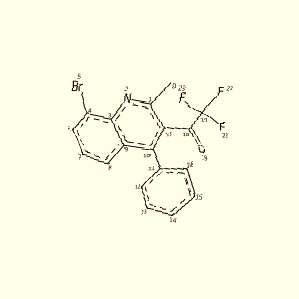 Cc1nc2c(Br)cccc2c(-c2ccccc2)c1C(=O)C(F)(F)F